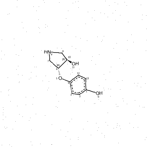 Oc1ccc(O[C@@H]2CNC[C@H]2O)cc1